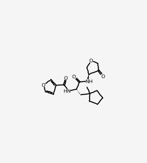 CC1(C[C@H](NC(=O)c2ccoc2)C(=O)N[C@H]2COCC2=O)CCCC1